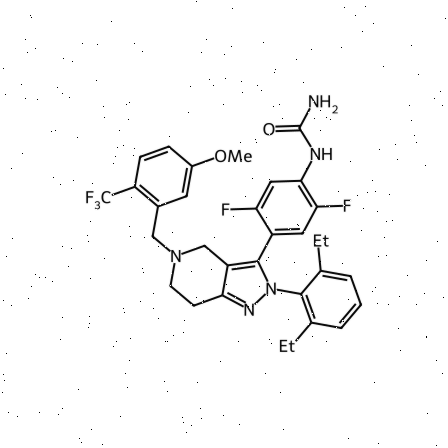 CCc1cccc(CC)c1-n1nc2c(c1-c1cc(F)c(NC(N)=O)cc1F)CN(Cc1cc(OC)ccc1C(F)(F)F)CC2